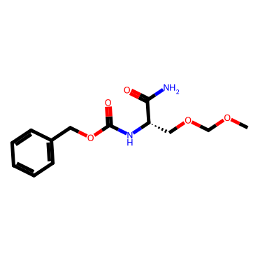 COCOC[C@H](NC(=O)OCc1ccccc1)C(N)=O